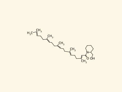 CC(C)=CCC/C(C)=C/CC/C(C)=C/CC/C(C)=C/CC/C(C)=C/C(=O)N1CCCCC1CO